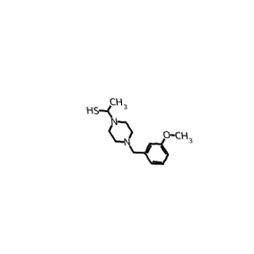 COc1cccc(CN2CCN(C(C)S)CC2)c1